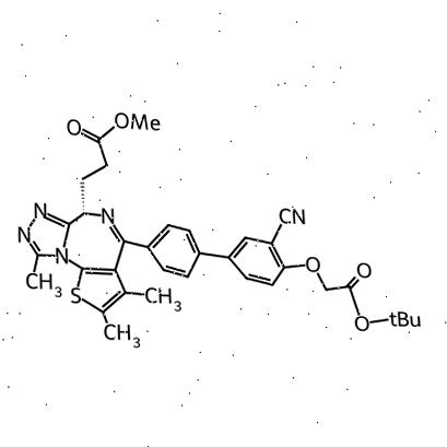 COC(=O)CC[C@@H]1N=C(c2ccc(-c3ccc(OCC(=O)OC(C)(C)C)c(C#N)c3)cc2)c2c(sc(C)c2C)-n2c(C)nnc21